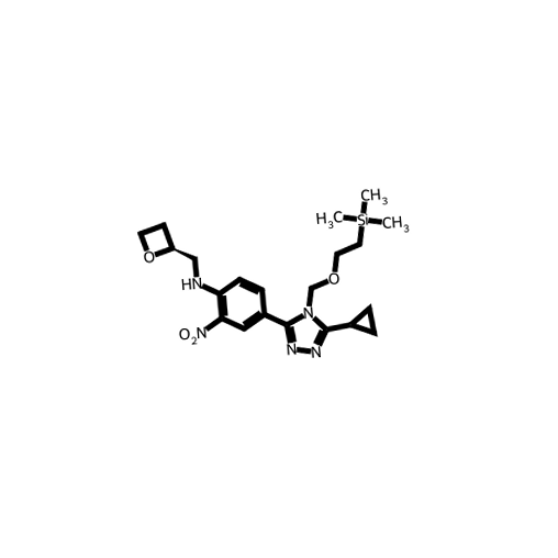 C[Si](C)(C)CCOCn1c(-c2ccc(NC[C@@H]3CCO3)c([N+](=O)[O-])c2)nnc1C1CC1